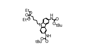 CCOP(=O)(CCCCn1c2ccc(NC(=O)OC(C)(C)C)cc2c2cc(NC(=O)OC(C)(C)C)ccc21)OCC